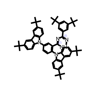 C/N=C(\N=C(/NC)c1cc(-n2c3ccc(C(C)(C)C)cc3c3cc(C(C)(C)C)ccc32)ccc1-n1c2ccc(C(C)(C)C)cc2c2cc(C(C)(C)C)ccc21)c1cc(C(C)(C)C)cc(C(C)(C)C)c1